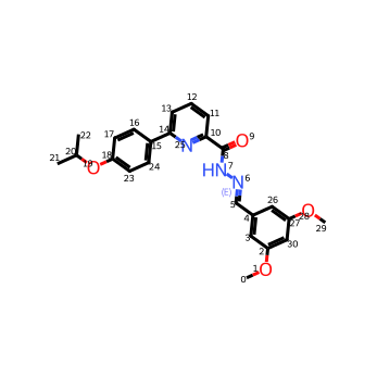 COc1cc(/C=N/NC(=O)c2cccc(-c3ccc(OC(C)C)cc3)n2)cc(OC)c1